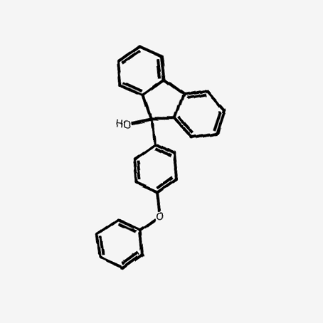 OC1(c2ccc(Oc3ccccc3)cc2)c2ccccc2-c2ccccc21